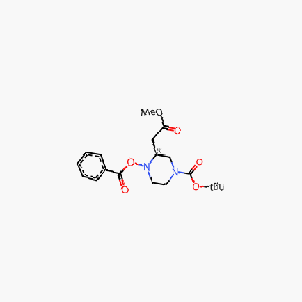 COC(=O)C[C@H]1CN(C(=O)OC(C)(C)C)CCN1OC(=O)c1ccccc1